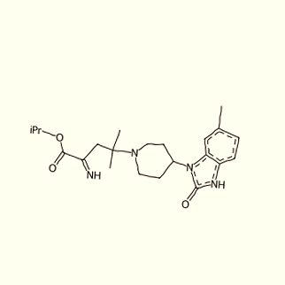 Cc1ccc2[nH]c(=O)n(C3CCN(C(C)(C)CC(=N)C(=O)OC(C)C)CC3)c2c1